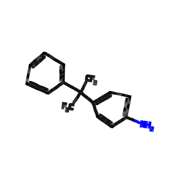 Nc1ccc(C(c2ccccc2)(C(F)(F)F)C(F)(F)F)cc1